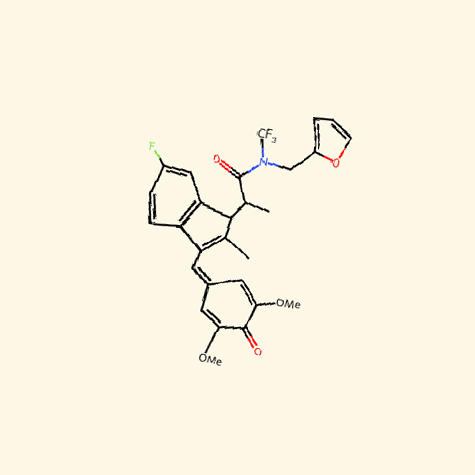 COC1=CC(=CC2=C(C)C(C(C)C(=O)N(Cc3ccco3)C(F)(F)F)c3cc(F)ccc32)C=C(OC)C1=O